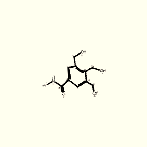 CC(C)NC(=O)c1cc(CO)c(CO)c(CO)c1